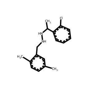 Cc1ccc(C)c(CNNC(C)c2ccccc2Cl)c1